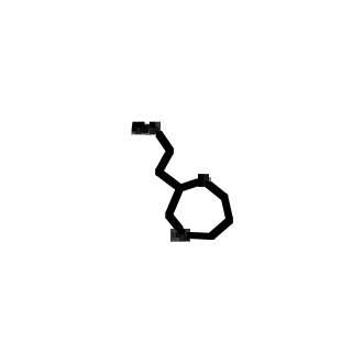 CNCCC1CNCCC[N]1